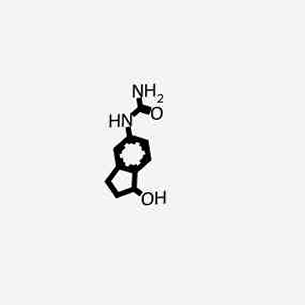 NC(=O)Nc1ccc2c(c1)CCC2O